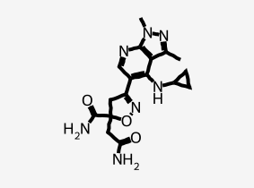 Cc1nn(C)c2ncc(C3=NOC(CC(N)=O)(C(N)=O)C3)c(NC3CC3)c12